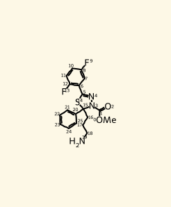 COC(=O)N1N=C(c2cc(F)ccc2F)SC1(CCCN)c1ccccc1